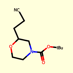 CC(C)(C)OC(=O)N1CCOC(CCC#N)C1